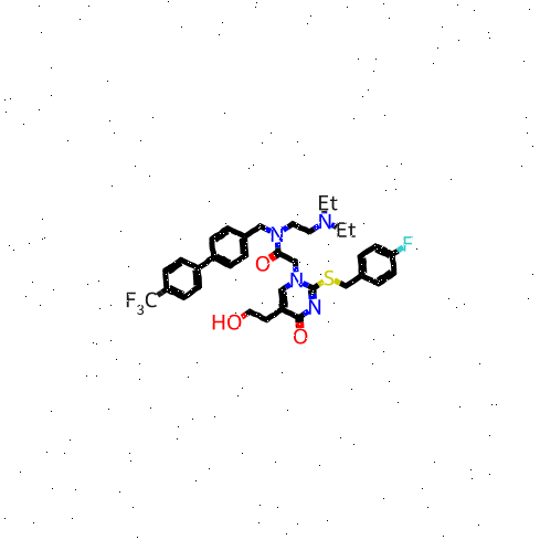 CCN(CC)CCN(Cc1ccc(-c2ccc(C(F)(F)F)cc2)cc1)C(=O)Cn1cc(CCO)c(=O)nc1SCc1ccc(F)cc1